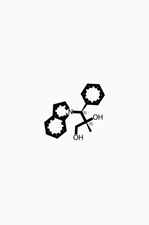 C[C@@](O)(CO)[C@H](c1ccccc1)n1ccc2ccccc21